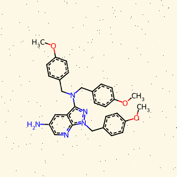 COc1ccc(CN(Cc2ccc(OC)cc2)c2nn(Cc3ccc(OC)cc3)c3ncc(N)cc23)cc1